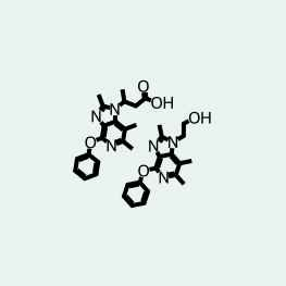 Cc1nc(Oc2ccccc2)c2nc(C)n(C(C)CC(=O)O)c2c1C.Cc1nc(Oc2ccccc2)c2nc(C)n(CCO)c2c1C